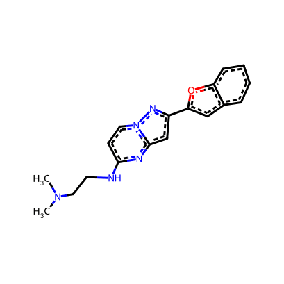 CN(C)CCNc1ccn2nc(-c3cc4ccccc4o3)cc2n1